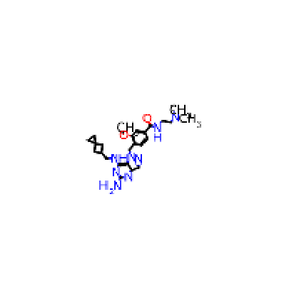 COc1cc(C(=O)NCCN(C)C)ccc1Cn1ncc2nc(N)nc(NCC3CC4(CC4)C3)c21